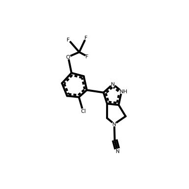 N#CN1Cc2[nH]nc(-c3cc(OC(F)(F)F)ccc3Cl)c2C1